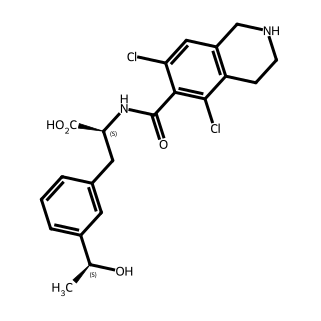 C[C@H](O)c1cccc(C[C@H](NC(=O)c2c(Cl)cc3c(c2Cl)CCNC3)C(=O)O)c1